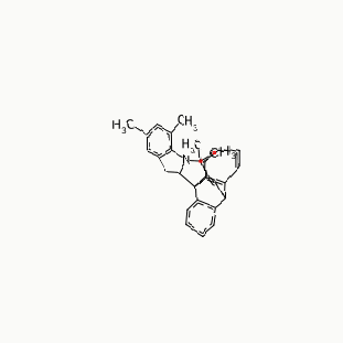 Cc1cc(C)c2c(c1)CC1N2C(C)(C)C2=CC3C4=C(CCC=C4)C21c1ccccc13